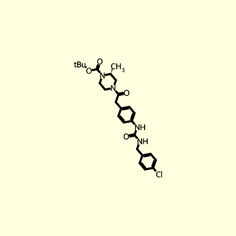 C[C@@H]1CN(C(=O)Cc2ccc(NC(=O)NCc3ccc(Cl)cc3)cc2)CCN1C(=O)OC(C)(C)C